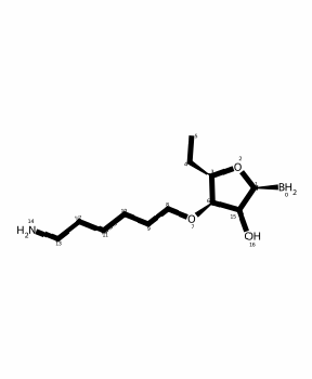 B[C@@H]1O[C@H](CC)[C@H](OCCCCCCN)C1O